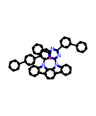 c1ccc(-c2ccc(-c3ccccc3-n3c4ccccc4c4ccc5c6ccccc6n(-c6nc(-c7ccccc7)nc(-c7cccc(-c8ccccc8)c7)n6)c5c43)cc2)cc1